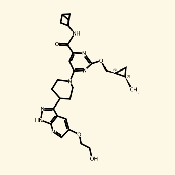 C[C@@H]1C[C@@H]1COc1nc(C(=O)NC23CC(C2)C3)cc(N2CCC(c3n[nH]c4ncc(OCCO)cc34)CC2)n1